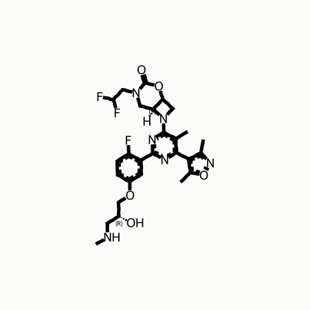 CNC[C@@H](O)COc1ccc(F)c(-c2nc(-c3c(C)noc3C)c(C)c(N3CC4OC(=O)N(CC(F)F)C[C@@H]43)n2)c1